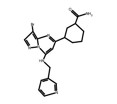 NC(=O)C1CCCC(c2cc(NCc3cccnc3)n3ncc(Br)c3n2)C1